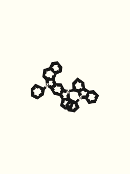 c1ccc(-n2c3cc4c5ccccc5n(-c5cccc6c7ccccc7n(-c7ccccc7)c56)c4cc3c3c4ccccc4ccc32)cc1